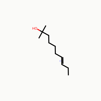 CC/C=C/CCCCC(C)(C)O